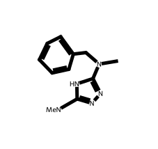 CNc1nnc(N(C)Cc2ccccc2)[nH]1